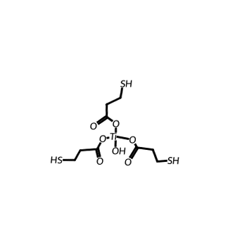 O=C(CCS)[O][Ti]([OH])([O]C(=O)CCS)[O]C(=O)CCS